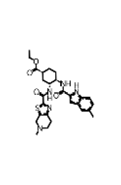 CCOC(=O)[C@H]1CC[C@@H](NC(=O)c2cc3cc(C)ccc3[nH]2)[C@H](NC(=O)c2nc3c(s2)CN(C)CC3)C1